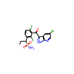 CCC(c1ccc(F)c(C(=O)c2n[nH]c3ncc(Br)cc23)c1F)S(N)(=O)=O